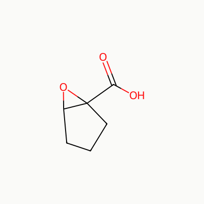 O=C(O)C12CCCC1O2